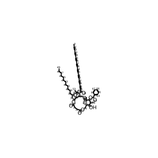 CC#CC#CC#CC#CC#CC#CC#CC#CC(=O)N[C@H]1CO[C@@H]2OC(COC(=O)CCC(=O)O[C@H](CCCCCCCCCCCCCC)[C@H]1OC(C)=O)[C@@H](O)[C@H](C)C2OC(=O)c1ccccc1